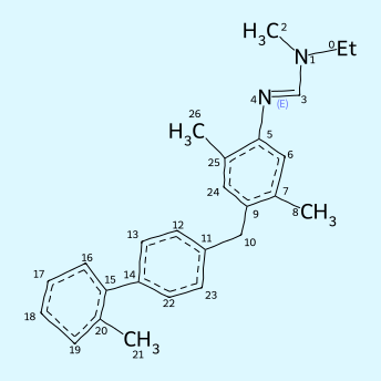 CCN(C)/C=N/c1cc(C)c(Cc2ccc(-c3ccccc3C)cc2)cc1C